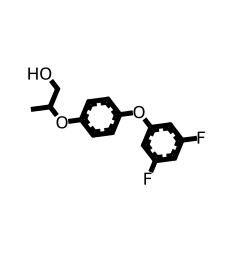 CC(CO)Oc1ccc(Oc2cc(F)cc(F)c2)cc1